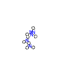 C1=CC(c2nc(-c3ccccc3)nc(-c3cccc4cc(-n5c6ccccc6c6c7c8ccccc8n(-c8ccccc8)c7ccc65)ccc34)n2)=CCC1